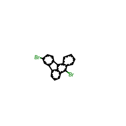 Brc1ccc2c(c1)-c1cccc3c(Br)c4ccccc4c-2c13